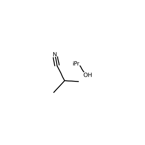 CC(C)C#N.CC(C)O